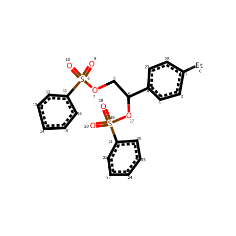 CCc1ccc(C(COS(=O)(=O)c2ccccc2)OS(=O)(=O)c2ccccc2)cc1